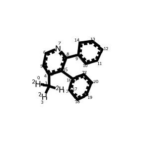 [2H]C([2H])([2H])c1ccnc(-c2ccccc2)c1-c1ccccc1